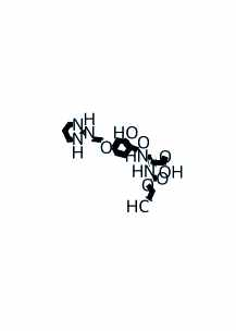 C#CCOC(=O)N[C@@H](CNC(=O)c1ccc(OCCNC2=NCCCN2)cc1O)C(=O)O